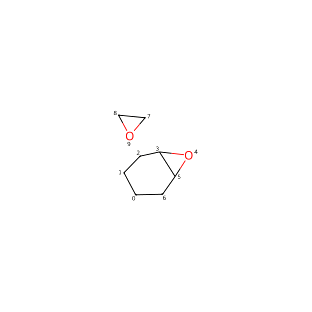 C1CCC2OC2C1.C1CO1